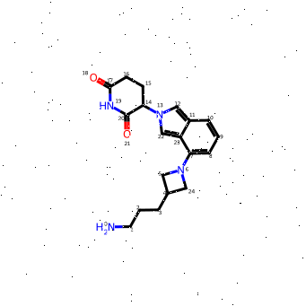 NCCCC1CN(c2cccc3cn(C4CCC(=O)NC4=O)cc23)C1